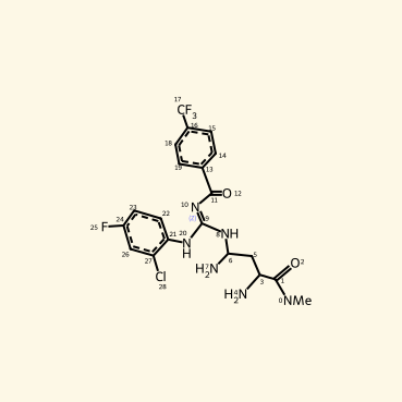 CNC(=O)C(N)CC(N)N/C(=N\C(=O)c1ccc(C(F)(F)F)cc1)Nc1ccc(F)cc1Cl